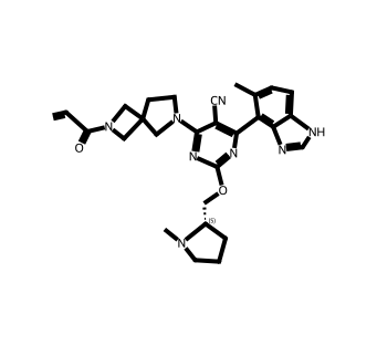 C=CC(=O)N1CC2(CCN(c3nc(OC[C@@H]4CCCN4C)nc(-c4c(C)ccc5[nH]cnc45)c3C#N)C2)C1